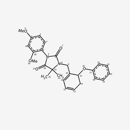 COc1ccc(N2C(=O)N(CC3=CC=CCC3Oc3ccccc3)C(C)(C)C2=O)c(OC)c1